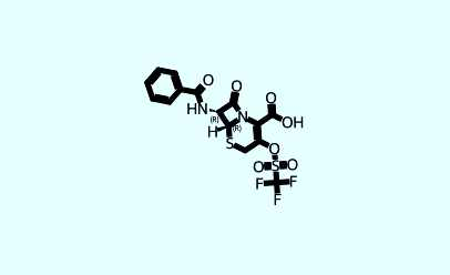 O=C(O)C1=C(OS(=O)(=O)C(F)(F)F)CS[C@@H]2[C@H](NC(=O)c3ccccc3)C(=O)N12